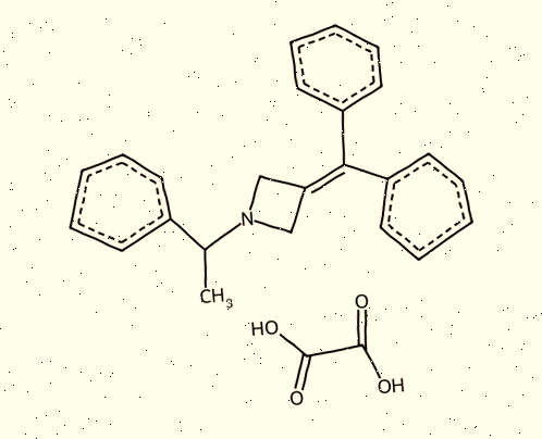 CC(c1ccccc1)N1CC(=C(c2ccccc2)c2ccccc2)C1.O=C(O)C(=O)O